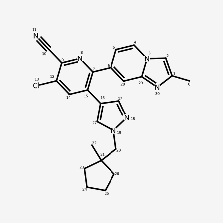 Cc1cn2ccc(-c3nc(C#N)c(Cl)cc3-c3cnn(CC4(C)CCCC4)c3)cc2n1